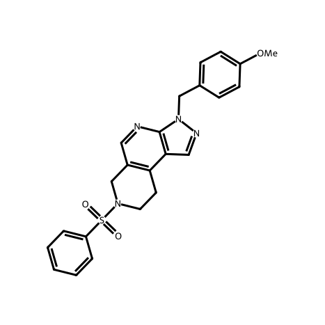 COc1ccc(Cn2ncc3c4c(cnc32)CN(S(=O)(=O)c2ccccc2)CC4)cc1